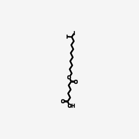 O=C(O)CCCCC(=O)OCCCCCCCCCC(I)I